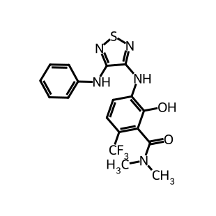 CN(C)C(=O)c1c(C(F)(F)F)ccc(Nc2nsnc2Nc2ccccc2)c1O